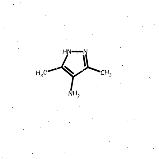 Cc1n[nH]c(C)c1N